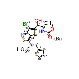 C[C@H](NC(=O)OC(C)(C)C)C(O)c1sc2c(N(Cc3cccs3)C(=O)O)snc2c1Br